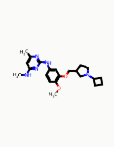 CNc1cc(C)nc(Nc2ccc(OC)c(OCC3CCN(C4CCC4)C3)c2)n1